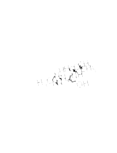 Cc1cnc(NC[C@@H](CCO)CNC(=O)OC(C)(C)C)nn1